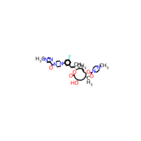 C/C(=C\c1cc(F)cc(N2CCN(C(=O)c3cn(C)cn3)CC2)c1)[C@H]1OC(=O)C[C@H](O)CC[C@H](C)[C@@H](OC(=O)N2CCN(C)CC2)/C=C/[C@@H]1C